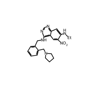 CCNc1cc2ncnc(NCc3ccccc3CN3CCCC3)c2cc1[N+](=O)[O-]